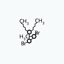 CCCCCCc1cc(CCCCCC)cc(C2(C)c3cc(Br)ccc3-c3ccc(Br)cc32)c1